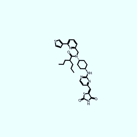 CCCC(CCC)C(=O)N(Cc1cccc(-c2ccsc2)n1)[C@H]1CC[C@H](Nc2nccc(/C=C3\SC(=O)NC3=O)n2)CC1